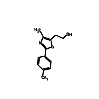 Cc1ccc(-c2nc(C)c(CCO)o2)cc1